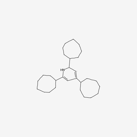 [C]1=C(C2CCCCCCC2)C=C(C2CCCCCCC2)NC1C1CCCCCCC1